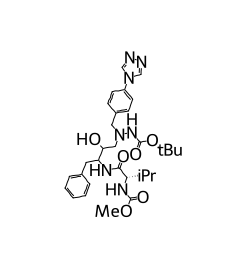 COC(=O)N[C@H](C(=O)NC(Cc1ccccc1)C(O)CN(Cc1ccc(-n2cnnc2)cc1)NC(=O)OC(C)(C)C)C(C)C